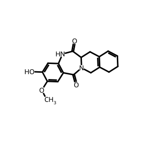 COc1cc2c(cc1O)NC(=O)C1CC3=C(CCC=C3)CN1C2=O